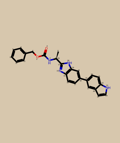 C[C@H](NC(=O)OCc1ccccc1)c1nc2ccc(-c3ccc4[nH]ccc4c3)cc2[nH]1